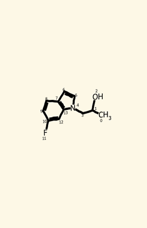 CC(O)Cn1ccc2ccc(F)cc21